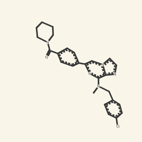 CN(Cc1ccc(Cl)cc1)c1nc(-c2ccc(C(=O)N3CCCCC3)cc2)cn2ccnc12